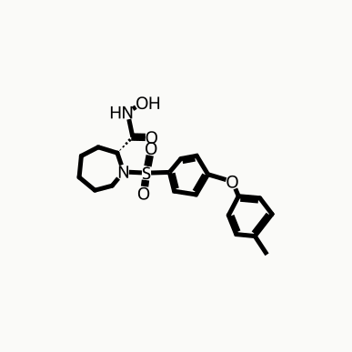 Cc1ccc(Oc2ccc(S(=O)(=O)N3CCCCC[C@@H]3C(=O)NO)cc2)cc1